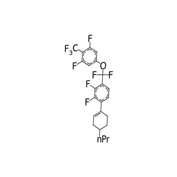 CCCC1CC=C(c2ccc(C(F)(F)Oc3cc(F)c(C(F)(F)F)c(F)c3)c(F)c2F)CC1